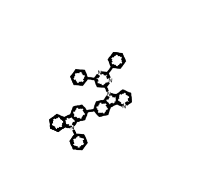 c1ccc(-c2cc(-n3c4cc(-c5ccc6c7ccccc7n(-c7ccccc7)c6c5)ccc4c4ncccc43)nc(-c3ccccc3)n2)cc1